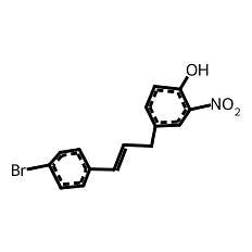 O=[N+]([O-])c1cc(C/C=C/c2ccc(Br)cc2)ccc1O